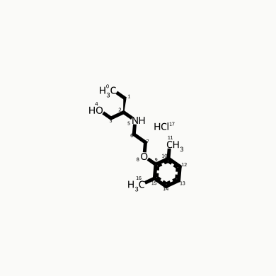 CC[C@H](CO)NCCOc1c(C)cccc1C.Cl